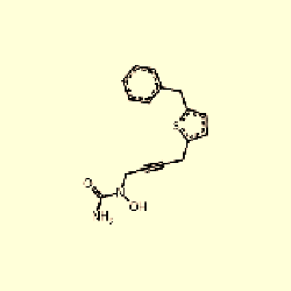 NC(=O)N(O)CC#CCc1ccc(Cc2ccccc2)s1